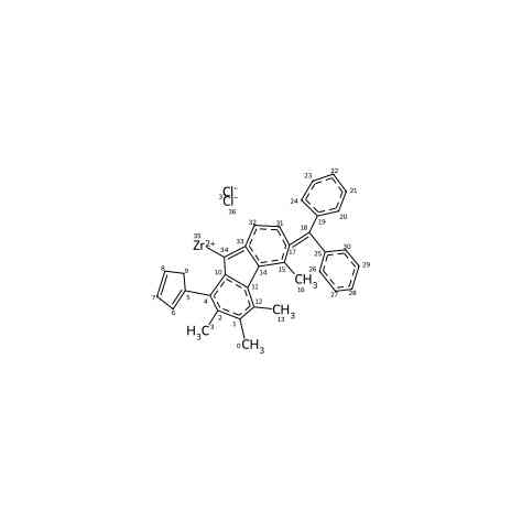 Cc1c(C)c(C2=CC=CC2)c2c(c1C)-c1c(C)c(=C(c3ccccc3)c3ccccc3)ccc1=[C]2[Zr+2].[Cl-].[Cl-]